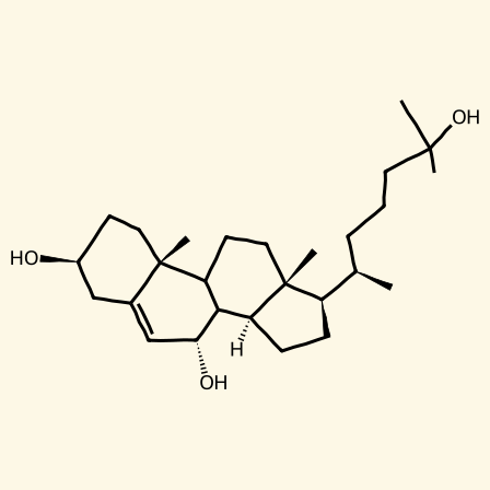 C[C@H](CCCC(C)(C)O)[C@H]1CC[C@H]2C3C(CC[C@]12C)[C@@]1(C)CC[C@H](O)CC1=C[C@H]3O